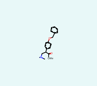 COC(=O)C(CN(C)C)c1ccc(OCc2ccccc2)cc1